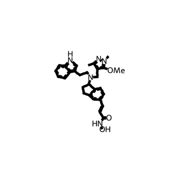 COc1c(CN(CCc2c[nH]c3ccccc23)C2CCc3cc(/C=C/C(=O)NO)ccc32)c(C)nn1C